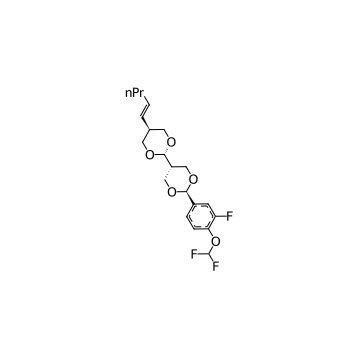 CCC/C=C/[C@H]1CO[C@H]([C@H]2CO[C@H](c3ccc(OC(F)F)c(F)c3)OC2)OC1